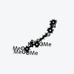 COc1ccc(C2CC(c3cc(OC)c(OC)c(OC)c3)=NN2C(C)=O)cc1OCCCCCCOc1ccc(-c2nc3ccccc3s2)cc1